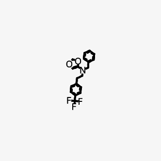 FC(F)(F)c1ccc(CCN(Cc2ccccc2)C2=COCO2)cc1